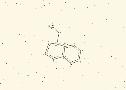 FC(F)(F)Cc1cccc2ncccc12